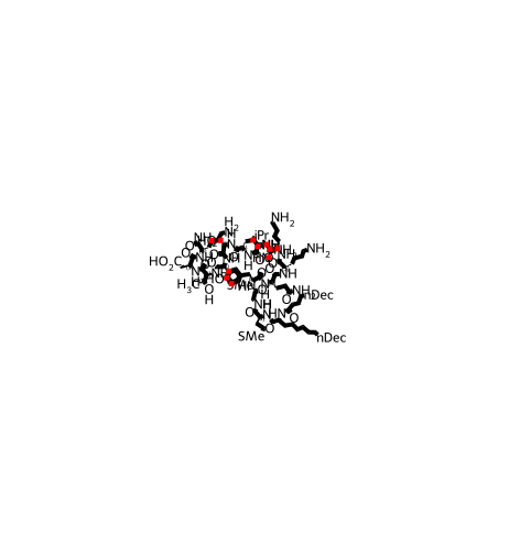 CCCCCCCCCCCCCCCCC(NC(=O)CCCCCCCCCCCCC)C(=O)N[C@@H](CCSC)C(=O)NCC(=O)N[C@@H](Cc1ccc(O)cc1)C(=O)N[C@@H](CCC(N)=O)C(=O)N[C@@H](CCCCN)C(=O)N[C@@H](CCCCN)C(=O)N[C@@H](CC(C)C)C(=O)N[C@@H](CCCNC(=N)N)C(=O)N[C@@H](CO)C(=O)N[C@@H](CCSC)C(=O)N[C@H](C(=O)N[C@@H](CC(=O)O)C(=O)N[C@@H](CCCCN)C(N)=O)[C@@H](C)O